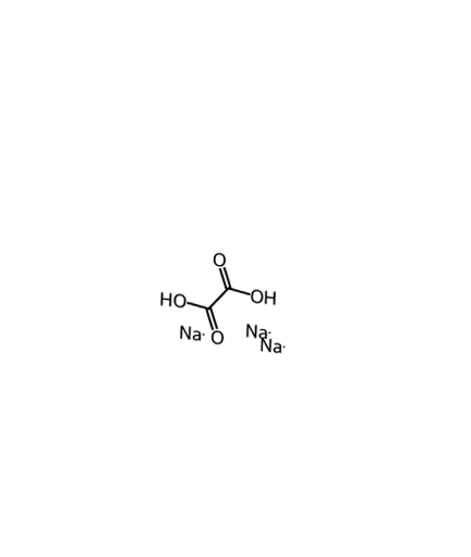 O=C(O)C(=O)O.[Na].[Na].[Na]